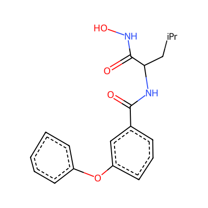 CC(C)CC(NC(=O)c1cccc(Oc2ccccc2)c1)C(=O)NO